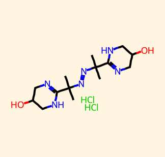 CC(C)(N=NC(C)(C)C1=NCC(O)CN1)C1=NCC(O)CN1.Cl.Cl